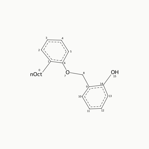 CCCCCCCCc1ccccc1OCc1ccccc1O